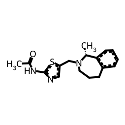 CC(=O)Nc1ncc(CN2CCCc3ccccc3[C@H]2C)s1